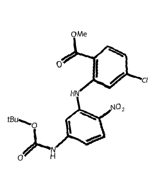 COC(=O)c1ccc(Cl)cc1Nc1cc(NC(=O)OC(C)(C)C)ccc1[N+](=O)[O-]